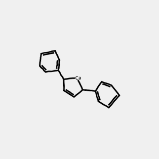 C1=C[CH](c2ccccc2)[Ca][CH]1c1ccccc1